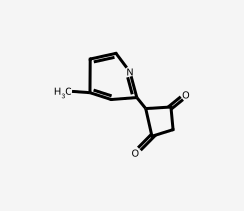 Cc1ccnc(C2C(=O)CC2=O)c1